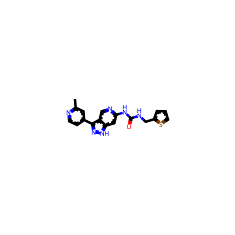 Cc1cc(-c2n[nH]c3cc(NC(=O)NCc4cccs4)ncc23)ccn1